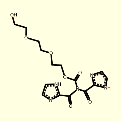 O=C(OCCOCCOCCO)N(C(=O)c1ncc[nH]1)C(=O)c1ncc[nH]1